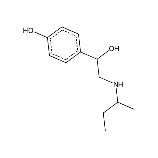 CCC(C)NCC(O)c1ccc(O)cc1